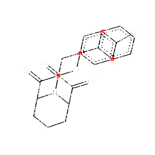 O=C1C2CCCC(C(=O)N1Cc1ccc(F)cc1)N2C(=O)OCc1ccccc1